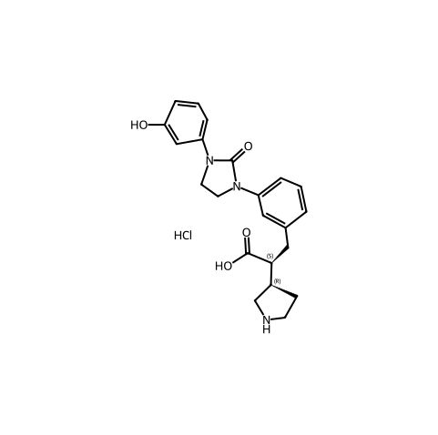 Cl.O=C(O)[C@@H](Cc1cccc(N2CCN(c3cccc(O)c3)C2=O)c1)[C@H]1CCNC1